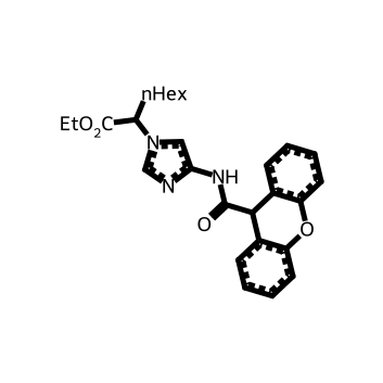 CCCCCCC(C(=O)OCC)n1cnc(NC(=O)C2c3ccccc3Oc3ccccc32)c1